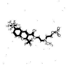 CN(CCOC(=O)C1=Cc2cc(S(F)(F)(F)(F)F)ccc2OC1C(F)(F)F)CCO[N+](=O)[O-]